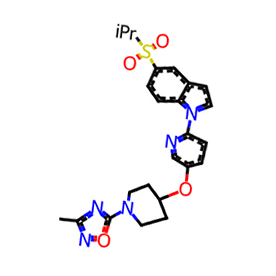 Cc1noc(N2CCC(Oc3ccc(-n4ccc5cc(S(=O)(=O)C(C)C)ccc54)nc3)CC2)n1